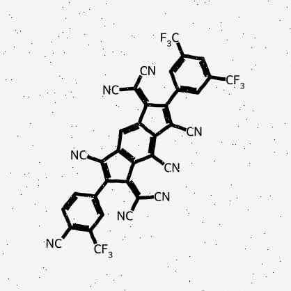 N#CC(C#N)=C1C(c2cc(C(F)(F)F)cc(C(F)(F)F)c2)=C(C#N)c2c1cc1c(c2C#N)C(=C(C#N)C#N)C(c2ccc(C#N)c(C(F)(F)F)c2)=C1C#N